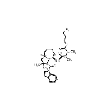 CCCCOC(=O)N(C)[C@@H](C)C(=S)N[C@H]1CCS[C@H]2CC(C)(C)[C@@H](C(=O)n3ccc4ccccc43)N2C1=O